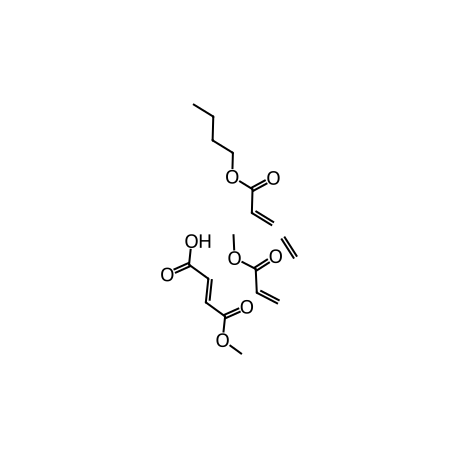 C=C.C=CC(=O)OC.C=CC(=O)OCCCC.COC(=O)C=CC(=O)O